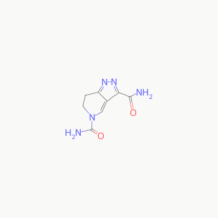 NC(=O)C1=NN=C2CCN(C(N)=O)C=C21